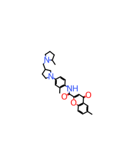 Cc1ccc2oc(C(=O)Nc3ccc(N4CCC(CN5CCCC5C)C4)cc3C)cc(=O)c2c1